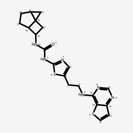 O=C(Nc1ncc(CCNc2ncnc3ccsc23)s1)NC1CC23CC2CCC13